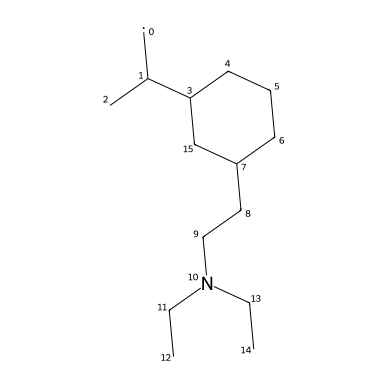 [CH2]C(C)C1CCCC(CCN(CC)CC)C1